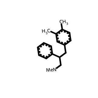 CNCC(Cc1ccc(C)c(C)c1)c1ccccc1